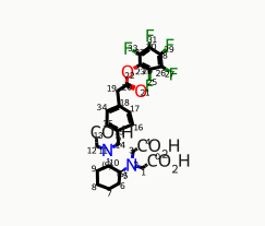 O=C(O)CN(CC(=O)O)[C@H]1CCCC[C@@H]1N(CC(=O)O)Cc1ccc(CC(=O)Oc2c(F)c(F)c(F)c(F)c2F)cc1